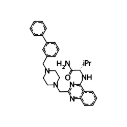 CC(C)[C@H](Nc1nc(CN2CCN(Cc3cccc(-c4ccccc4)c3)CC2)nc2ccccc12)C(N)=O